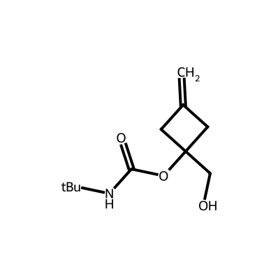 C=C1CC(CO)(OC(=O)NC(C)(C)C)C1